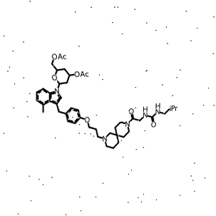 CC(=O)OCC1CC(OC(C)=O)CC(n2cc(Cc3ccc(OCCCN4CCCC5(CCN(C(=O)CNC(=O)NCC(C)C)CC5)C4)cc3)c3c(C)cccc32)O1